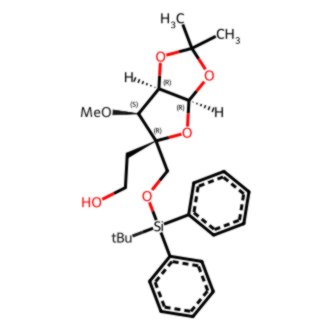 CO[C@H]1[C@H]2OC(C)(C)O[C@H]2O[C@]1(CCO)CO[Si](c1ccccc1)(c1ccccc1)C(C)(C)C